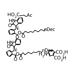 CC(=O)CCCC(=O)O.CCCCCCCCCCCCCCCCCCC(=O)OC(=O)c1ccccc1N=C1C(=O)Nc2ccccc21.CCCCCCCCCCCCCCCCCCC(=O)OC(=O)c1ccccc1N=C1C(=O)Nc2ccccc21.Nc1ccc(C(=O)O)c(C(=O)O)c1